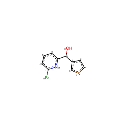 OC(c1ccsc1)c1cccc(Br)n1